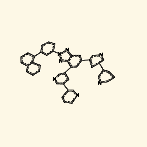 c1cncc(-c2cncc(-c3cc(-c4cncc(-c5cccnc5)c4)c4nn(-c5cccc(-c6cccc7ccccc67)c5)nc4c3)c2)c1